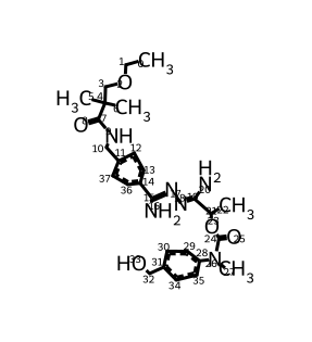 CCOCC(C)(C)C(=O)NCc1ccc(/C(N)=N/N=C(\N)C(C)OC(=O)N(C)c2ccc(CO)cc2)cc1